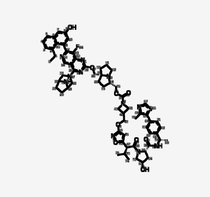 CCc1cccc2cc(O)cc(-c3ncc4c(N5CC6CCC(C5)N6)nc(OC[C@]56CCCN5[C@H](COC(=O)N5CC(COc7cc([C@@H](C(=O)N8C[C@H](O)C[C@H]8C(=O)N[C@@H](C)c8ccc(-c9scnc9C)cc8)C(C)C)on7)C5)CC6)nc4c3F)c12